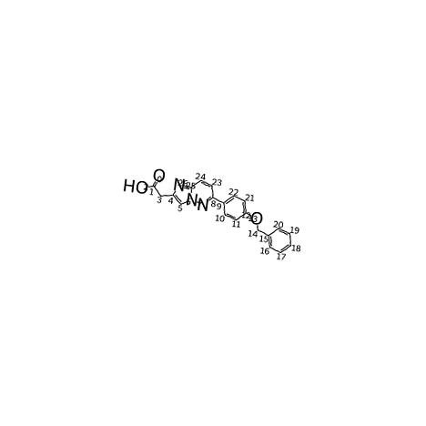 O=C(O)Cc1cn2nc(-c3ccc(OCc4ccccc4)cc3)ccc2n1